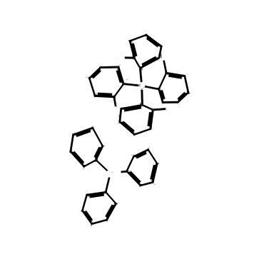 Fc1ccccc1[B-](c1ccccc1F)(c1ccccc1F)c1ccccc1F.c1ccc([PH+](c2ccccc2)c2ccccc2)cc1